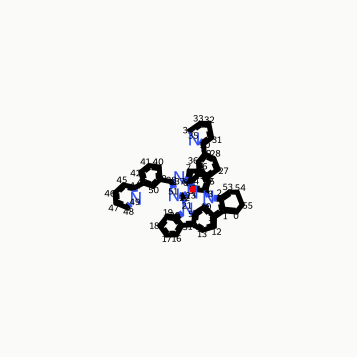 C1=c2c(n(-c3ccccc3)c3c2ccc2c4ccccc4n(-c4nc(-c5cccc(-c6ccccn6)c5)nc(-c5cccc(-c6ccccn6)c5)n4)c23)=CCC1